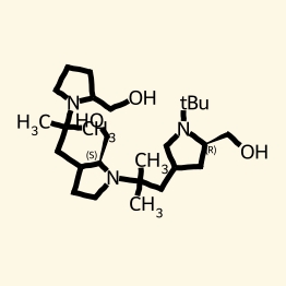 CC(C)(C)N1CC(CC(C)(C)N2CCC(CC(C)(C)N3CCCC3CO)[C@H]2CO)C[C@@H]1CO